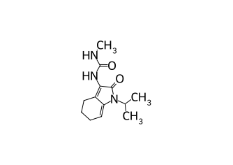 CNC(=O)NC1=C2CCCC=C2N(C(C)C)C1=O